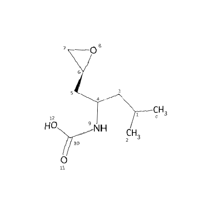 CC(C)CC(C[C@H]1CO1)NC(=O)O